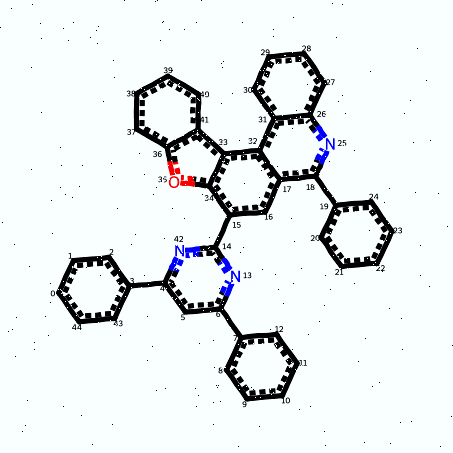 c1ccc(-c2cc(-c3ccccc3)nc(-c3cc4c(-c5ccccc5)nc5ccccc5c4c4c3oc3ccccc34)n2)cc1